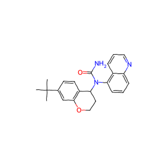 CC(C)(C)c1ccc2c(c1)OCCC2N(C(N)=O)c1cccc2ncccc12